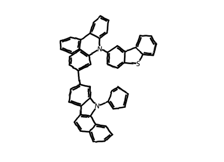 c1ccc(-c2ccccc2N(c2cccc(-c3ccc4c5ccc6ccccc6c5n(-c5ccccc5)c4c3)c2)c2ccc3sc4ccccc4c3c2)cc1